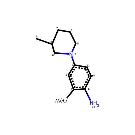 COc1cc(N2CCCC(C)C2)ccc1N